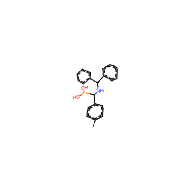 Cc1ccc(C(NC(c2ccccc2)c2ccccc2)P(O)O)cc1